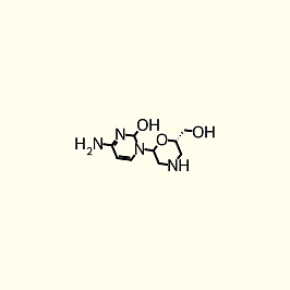 NC1=NC(O)N(C2CNC[C@@H](CO)O2)C=C1